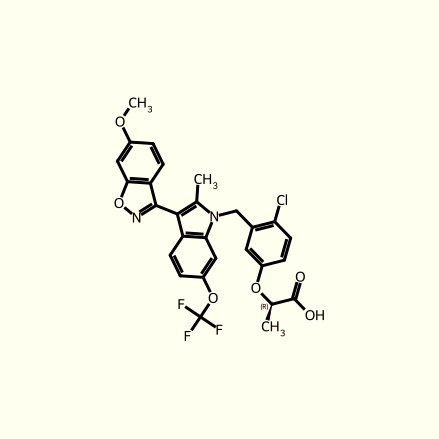 COc1ccc2c(-c3c(C)n(Cc4cc(O[C@H](C)C(=O)O)ccc4Cl)c4cc(OC(F)(F)F)ccc34)noc2c1